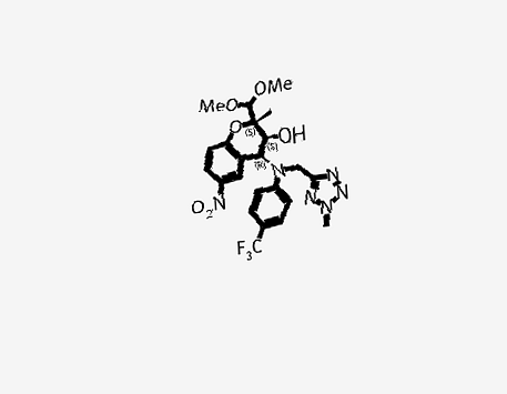 COC(OC)[C@@]1(C)Oc2ccc([N+](=O)[O-])cc2[C@@H](N(Cc2nnn(C)n2)c2ccc(C(F)(F)F)cc2)[C@@H]1O